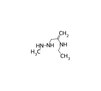 C=C(CNNC)NCC